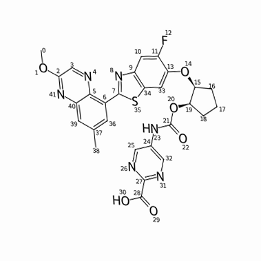 COc1cnc2c(-c3nc4cc(F)c(O[C@H]5CCC[C@H]5OC(=O)Nc5cnc(C(=O)O)nc5)cc4s3)cc(C)cc2n1